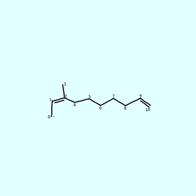 [CH2]C=C(C)CCCCCC=C